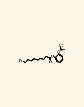 CCC(=O)Oc1ccccc1OC(=O)CCCCCCCCC(C)C